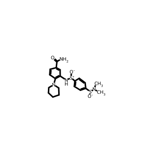 CN(C)[S+]([O-])c1ccc([S+]([O-])Nc2cc(C(N)=O)ccc2N2CCCCC2)cc1